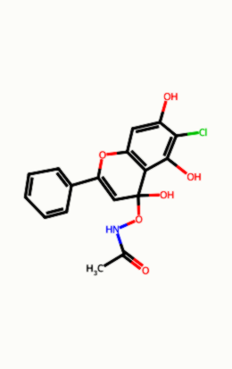 CC(=O)NOC1(O)C=C(c2ccccc2)Oc2cc(O)c(Cl)c(O)c21